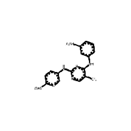 COc1ccc(Nc2ncc(C(F)(F)F)c(Nc3cccc(NC(C)=O)c3)n2)cn1